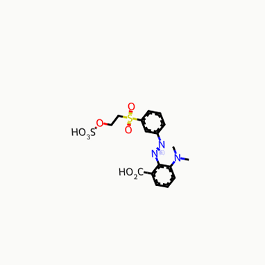 CN(C)c1cccc(C(=O)O)c1/N=N/c1cccc(S(=O)(=O)CCOS(=O)(=O)O)c1